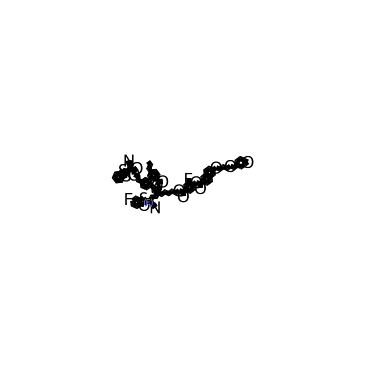 CCCc1ccc(C(=O)OCC(CCCCCOC(=O)c2ccc(OC(=O)c3ccc4cc(OCCCOCC5CCC6OC6C5)ccc4c3)c(F)c2)(CC/C(C#N)=C2/Oc3ccc(F)cc3S2)CCc2ccc(CCOC(=O)C(C#N)=C3Sc4ccccc4S3)cc2)cc1